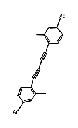 CC(=O)c1ccc(C#CC#Cc2ccc(C(C)=O)cc2C)c(C)c1